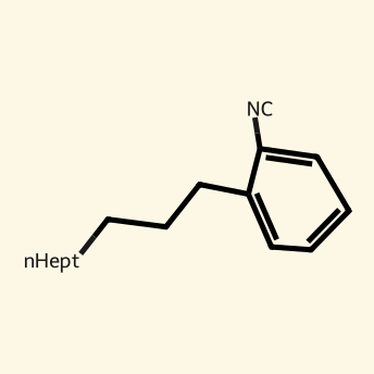 [C-]#[N+]c1ccccc1CCCCCCCCCC